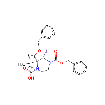 CC(C)(C)C1(COCc2ccccc2)C(I)N(C(=O)OCc2ccccc2)CCN1C(=O)O